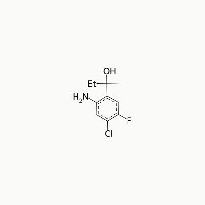 CCC(C)(O)c1cc(F)c(Cl)cc1N